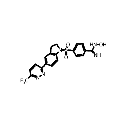 N=C(NO)c1ccc(S(=O)(=O)N2CCc3cc(-c4ccc(C(F)(F)F)nn4)ccc32)cc1